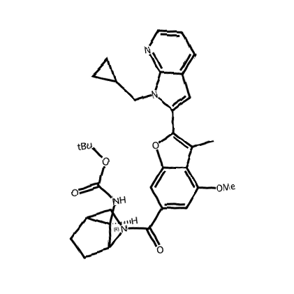 COc1cc(C(=O)N2CC3CCC2[C@@H]3NC(=O)OC(C)(C)C)cc2oc(-c3cc4cccnc4n3CC3CC3)c(C)c12